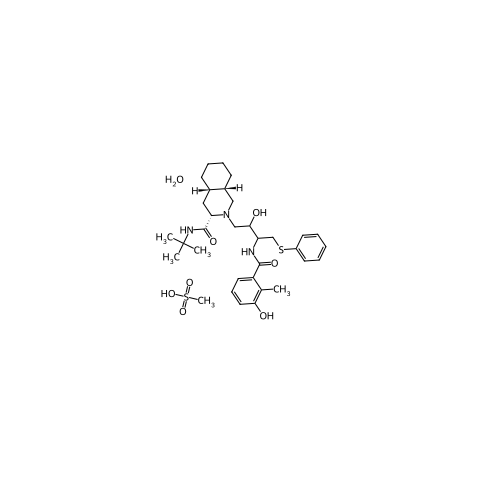 CS(=O)(=O)O.Cc1c(O)cccc1C(=O)NC(CSc1ccccc1)C(O)CN1C[C@H]2CCCC[C@H]2C[C@H]1C(=O)NC(C)(C)C.O